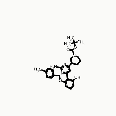 Cc1ccc(COc2cccc(O)c2-c2cc(C3CCCN(C(=O)OC(C)(C)C)C3)nc(N)n2)cc1